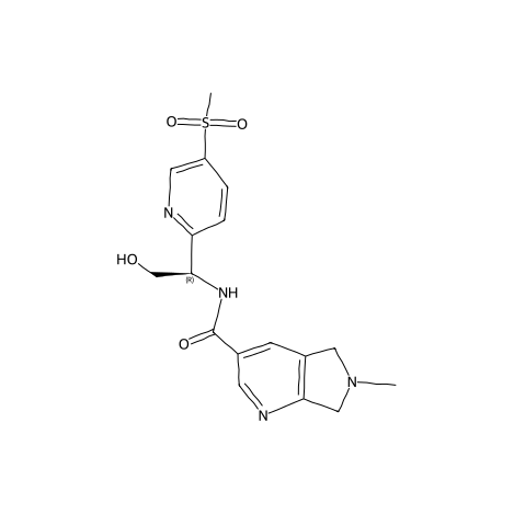 CN1Cc2cc(C(=O)N[C@@H](CO)c3ccc(S(C)(=O)=O)cn3)cnc2C1